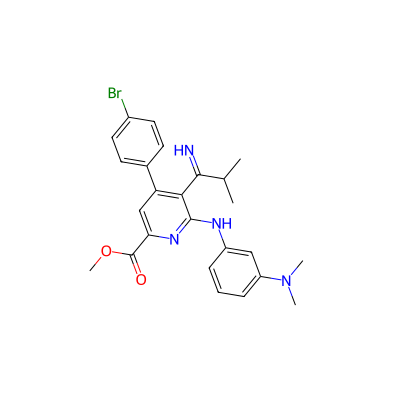 COC(=O)c1cc(-c2ccc(Br)cc2)c(C(=N)C(C)C)c(Nc2cccc(N(C)C)c2)n1